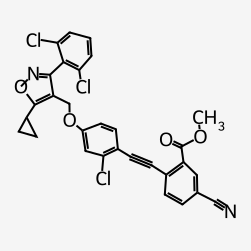 COC(=O)c1cc(C#N)ccc1C#Cc1ccc(OCc2c(-c3c(Cl)cccc3Cl)noc2C2CC2)cc1Cl